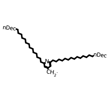 [CH2]c1cc(CCCCCCCCCCCCCCCCCCCCCCCC)nc(CCCCCCCCCCCCCCCCCCCCCCCC)c1